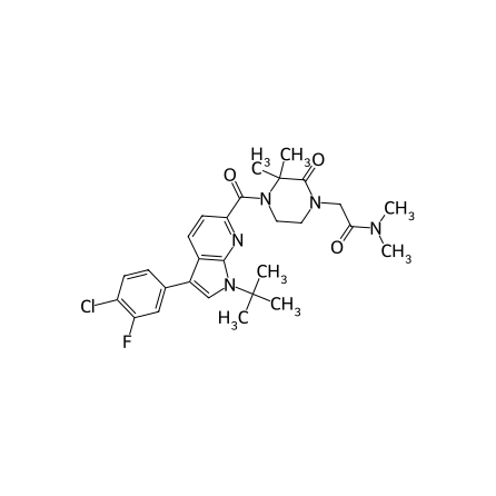 CN(C)C(=O)CN1CCN(C(=O)c2ccc3c(-c4ccc(Cl)c(F)c4)cn(C(C)(C)C)c3n2)C(C)(C)C1=O